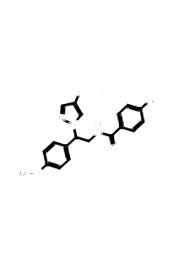 CCOC(=O)c1cnn(C(CNC(=O)c2ccc(Br)cc2)c2ccc(OC)cc2)c1